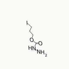 NNC(=O)OCCCI